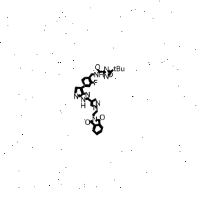 CC(C)(C)c1nc(C(=O)NCc2ccc(-c3ccnc4[nH]c(-c5cnn(CCN6C(=O)c7ccccc7C6=O)c5)nc34)cc2F)no1